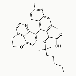 CCCCCC(C)(C)OC(C(=O)O)c1c(C)cc2nc(C)ccc2c1-c1ccc2c3c(ccnc13)CCO2